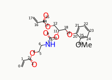 C=CC(=O)OCCNC(=O)OC(COC(=O)C=C)COc1ccccc1OC